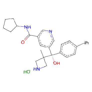 CC(C)c1ccc([C@](O)(c2cncc(C(=O)NC3CCCC3)c2)C2(C)CNC2)cc1.Cl